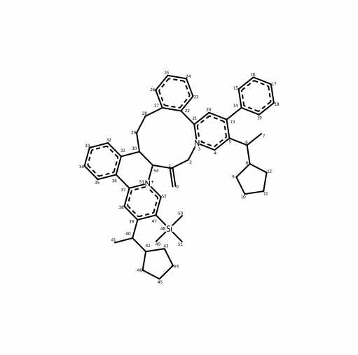 C=C1C[n+]2cc(C(C)C3CCCC3)c(-c3ccccc3)cc2-c2ccccc2CCC2c3ccccc3-c3cc(C(C)C4CCCC4)c([Si](C)(C)C)c[n+]3C12